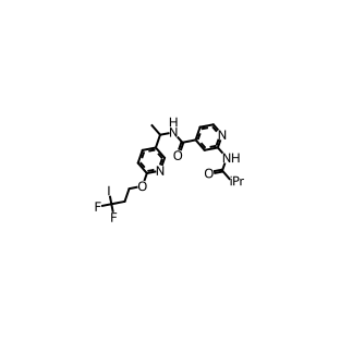 CC(C)C(=O)Nc1cc(C(=O)NC(C)c2ccc(OCCC(F)(F)I)nc2)ccn1